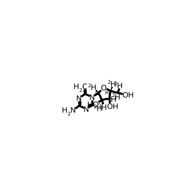 [2H]C1=NC(N)=NC(=C)N1[C@]1([2H])O[C@]([2H])(C([2H])([2H])O)C([2H])(O)C1([2H])O